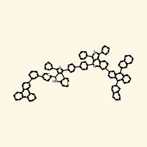 c1ccc(-c2sc(-c3ccc(-c4ccc(-c5nc6cc(-c7ccc8c(-c9ccc%10ccccc%10c9)c9ccccc9c(-c9ccc%10ccccc%10c9)c8c7)ccc6c6c(-c7ccccc7)sc(-c7ccccc7)c56)cc4)cc3)c3c2C(c2ccc(-c4cccc(-c5ccc6c7ccccc7c7ccccc7c6c5)c4)cc2)Nc2ccccc2-3)cc1